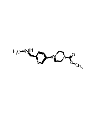 CNCc1ccc(N2CCN(C(=O)OC)CC2)cn1